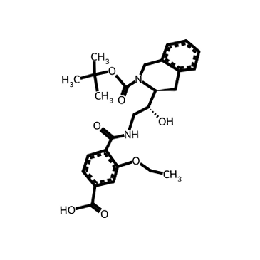 CCOc1cc(C(=O)O)ccc1C(=O)NC[C@@H](O)[C@@H]1Cc2ccccc2CN1C(=O)OC(C)(C)C